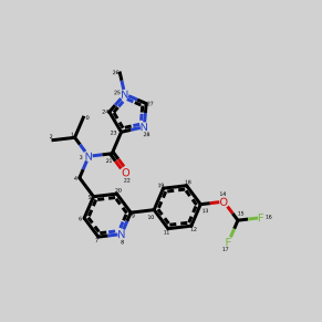 CC(C)N(Cc1ccnc(-c2ccc(OC(F)F)cc2)c1)C(=O)c1cn(C)cn1